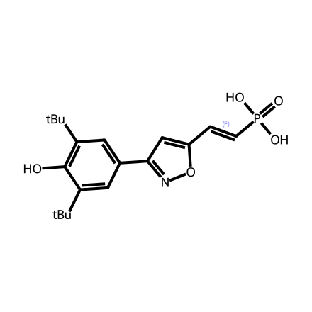 CC(C)(C)c1cc(-c2cc(/C=C/P(=O)(O)O)on2)cc(C(C)(C)C)c1O